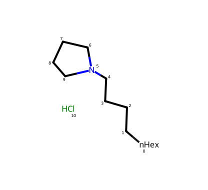 CCCCCCCCCCN1CCCC1.Cl